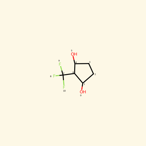 OC1CCC(O)C1C(F)(F)F